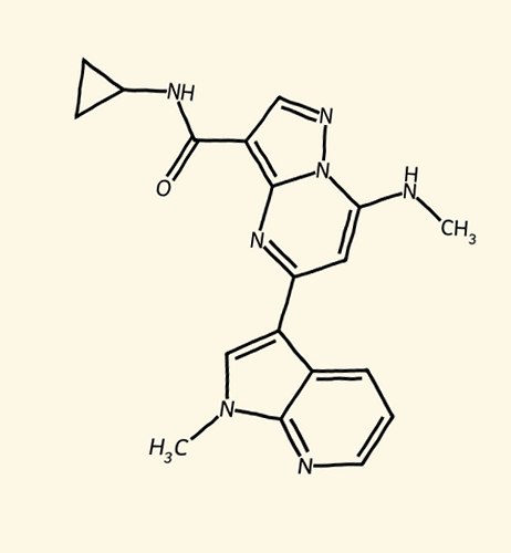 CNc1cc(-c2cn(C)c3ncccc23)nc2c(C(=O)NC3CC3)cnn12